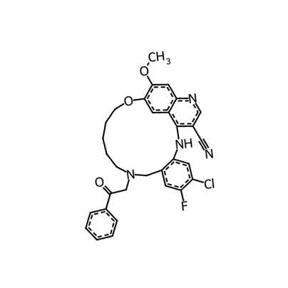 COc1cc2ncc(C#N)c3c2cc1OCCCCCN(CC(=O)c1ccccc1)Cc1cc(F)c(Cl)cc1N3